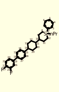 CCC[Si]1(c2ccccc2)CCC(C2CCC(c3ccc(-c4ccc(F)c(F)c4)cc3)CC2)CC1